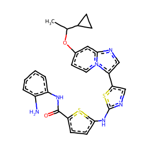 CC(Oc1ccn2c(-c3cnc(Nc4ccc(C(=O)Nc5ccccc5N)s4)s3)cnc2c1)C1CC1